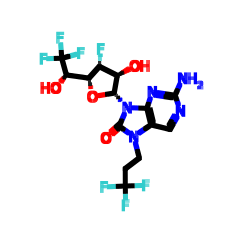 Nc1ncc2c(n1)n([C@@H]1O[C@H]([C@@H](O)C(F)(F)F)[C@H](F)[C@H]1O)c(=O)n2CCC(F)(F)F